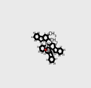 Cc1cc2c(c(N(C3=CC=C4C(=Cc5ccccc54)C34C=CC=C3C4=Cc4ccccc43)c3ccccc3C(C)(C)C)c1C)Cc1ccccc1-2